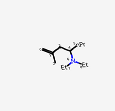 C=C(C)[CH]C(CCC)N(CC)CC